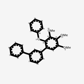 COc1cc(-c2[c]c(-c3ccccc3)ccc2)c(Oc2ccccc2)c(OC)c1OC